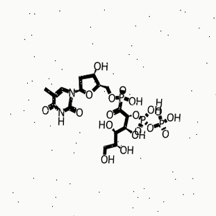 Cc1cn([C@H]2C[C@H](O)[C@@H](COP(=O)(O)C(=O)[C@H](OP(=O)(O)OP(=O)(O)O)[C@@H](O)[C@H](O)[C@H](O)CO)O2)c(=O)[nH]c1=O